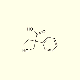 CCC(CO)(C(=O)O)c1ccccc1